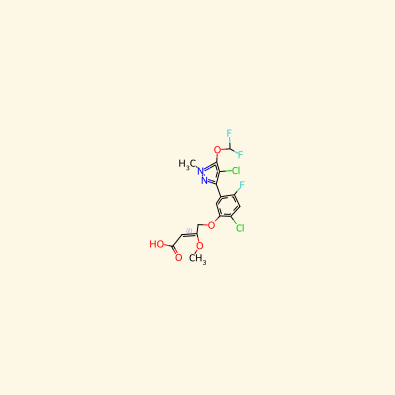 CO/C(=C\C(=O)O)COc1cc(-c2nn(C)c(OC(F)F)c2Cl)c(F)cc1Cl